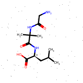 CC(C)C[C@H](NC(=O)C(C)(C)NC(=O)CN)C(=O)O